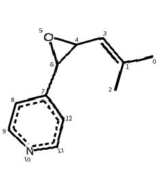 CC(C)=CC1OC1c1ccncc1